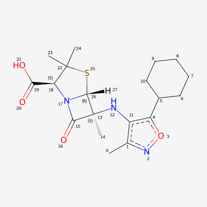 Cc1noc(C2CCCCC2)c1N[C@@]1(C)C(=O)N2[C@@H](C(=O)O)C(C)(C)S[C@@H]21